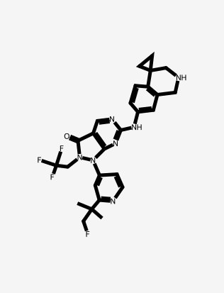 CC(C)(CF)c1cc(-n2c3nc(Nc4ccc5c(c4)CNCC54CC4)ncc3c(=O)n2CC(F)(F)F)ccn1